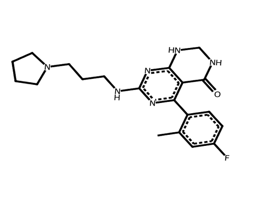 Cc1cc(F)ccc1-c1nc(NCCCN2CCCC2)nc2c1C(=O)NCN2